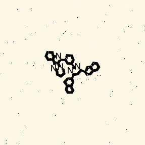 c1cc(-c2nc(-c3ccc4ccccc4c3)cc(-c3ccc4ccccc4c3)n2)cc(-c2nc3ccccc3c3nc4ccccn4c23)c1